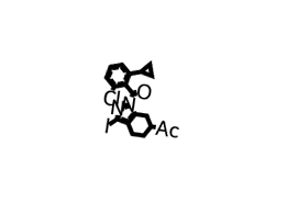 CC(=O)C1CCc2c(I)nn(C(=O)c3c(Cl)cccc3C3CC3)c2C1